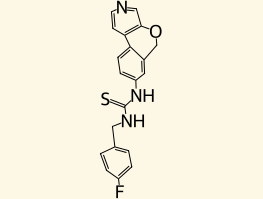 Fc1ccc(CNC(=S)Nc2ccc3c(c2)COc2cnccc2-3)cc1